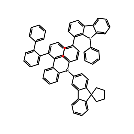 c1ccc(-c2ccccc2-c2ccccc2-c2ccccc2N(c2ccc(-c3cccc4c5ccccc5n(-c5ccccc5)c34)cc2)c2ccc3c(c2)-c2ccccc2C32CCCC2)cc1